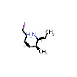 C=C(/C=C\CCI)/C(N)=C/C